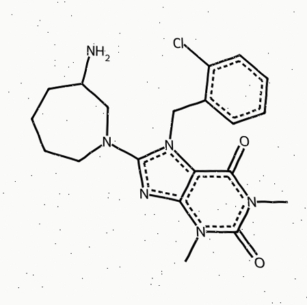 Cn1c(=O)c2c(nc(N3CCCCC(N)C3)n2Cc2ccccc2Cl)n(C)c1=O